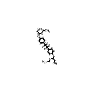 CCOC(CO)Oc1ccc(C(F)(F)C(F)(F)c2ccc(OC(CO)OCC)cc2)cc1